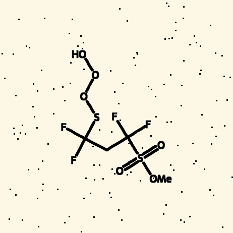 COS(=O)(=O)C(F)(F)CC(F)(F)SOOO